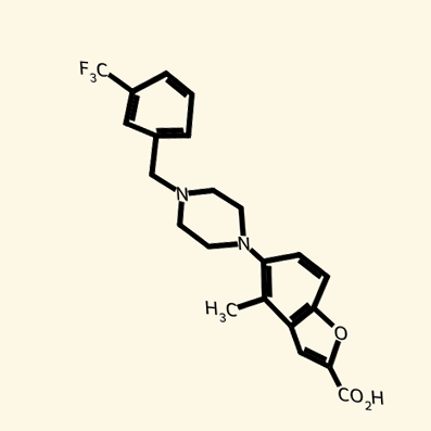 Cc1c(N2CCN(Cc3cccc(C(F)(F)F)c3)CC2)ccc2oc(C(=O)O)cc12